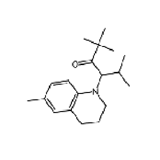 Cc1ccc2c(c1)CCCN2C(C(=O)C(C)(C)C)C(C)C